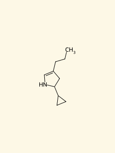 CCCC1=CNC(C2CC2)C1